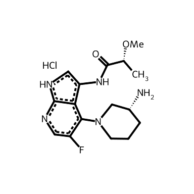 CO[C@H](C)C(=O)Nc1c[nH]c2ncc(F)c(N3CCC[C@@H](N)C3)c12.Cl